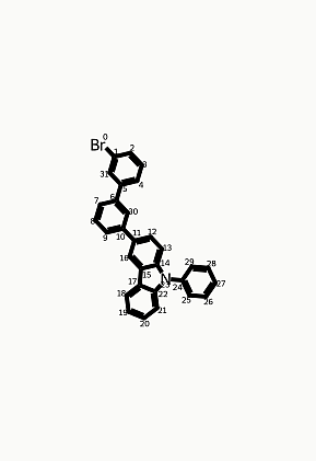 Brc1cccc(-c2cccc(-c3ccc4c(c3)c3ccccc3n4-c3ccccc3)c2)c1